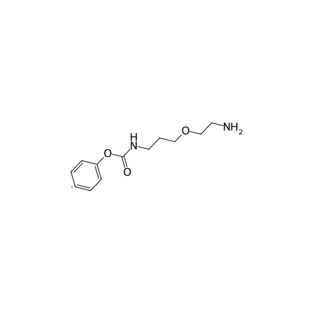 NCCOCCCNC(=O)Oc1cc[c]cc1